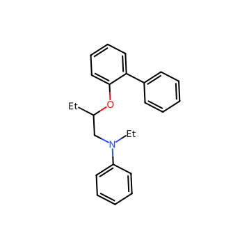 CCC(CN(CC)c1ccccc1)Oc1ccccc1-c1ccccc1